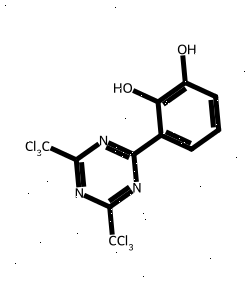 Oc1cccc(-c2nc(C(Cl)(Cl)Cl)nc(C(Cl)(Cl)Cl)n2)c1O